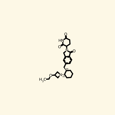 CCOC1CN([C@H]2CCCC[C@@H]2Cc2ccc3c(c2)CN(C2CCC(=O)NC2=O)C3=O)C1